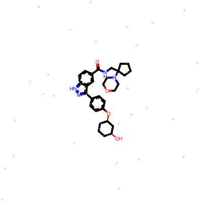 O=C(NCC1(N2CCOCC2)CCCC1)c1ccc2[nH]nc(-c3ccc(O[C@@H]4CCC[C@H](O)C4)cc3)c2c1